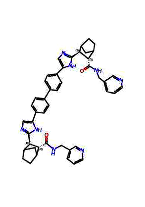 O=C(NCc1cccnc1)[C@@H]1C2CCC(C2)[C@H]1c1ncc(-c2ccc(-c3ccc(-c4cnc([C@H]5C6CCC(C6)[C@@H]5C(=O)NCc5cccnc5)[nH]4)cc3)cc2)[nH]1